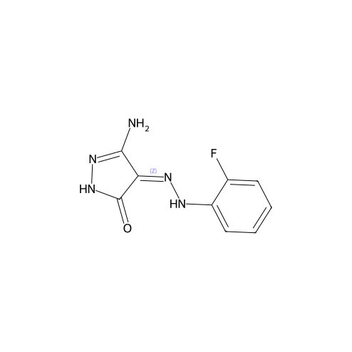 NC1=NNC(=O)/C1=N\Nc1ccccc1F